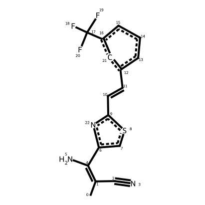 C/C(C#N)=C(\N)c1csc(/C=C/c2cccc(C(F)(F)F)c2)n1